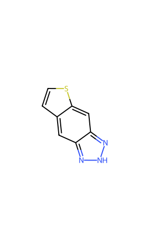 c1cc2cc3n[nH]nc3cc2s1